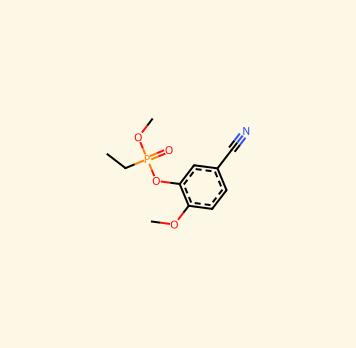 CCP(=O)(OC)Oc1cc(C#N)ccc1OC